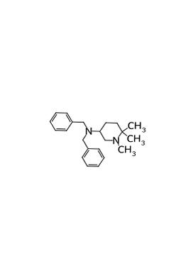 CN1CC(N(Cc2ccccc2)Cc2ccccc2)CCC1(C)C